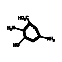 Nc1cc(O)c(N)c(C(=O)O)c1